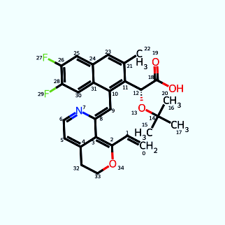 C=CC1=c2c(ccn/c2=C\c2c([C@@H](OC(C)(C)C)C(=O)O)c(C)cc3cc(F)c(F)cc23)CCO1